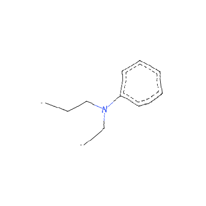 [CH2]CCN(C[CH2])c1ccccc1